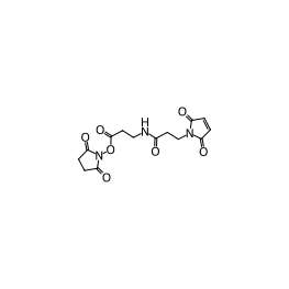 O=C(CCN1C(=O)C=CC1=O)NCCC(=O)ON1C(=O)CCC1=O